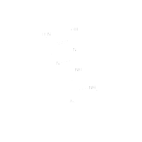 CC(=O)C(N)CNc1ncc(N)c(O)n1